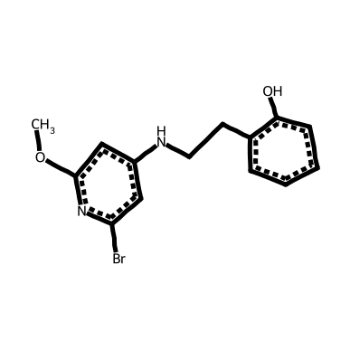 COc1cc(NCCc2ccccc2O)cc(Br)n1